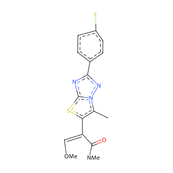 CNC(=O)C(=COC)c1sc2nc(-c3ccc(F)cc3)nn2c1C